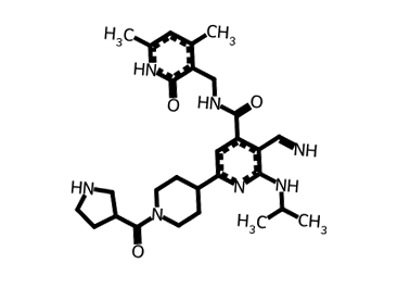 Cc1cc(C)c(CNC(=O)c2cc(C3CCN(C(=O)C4CCNC4)CC3)nc(NC(C)C)c2C=N)c(=O)[nH]1